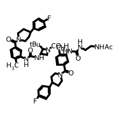 CC(=O)NCCNC(=O)Nc1cc(C(=O)N2CCC(c3ccc(F)cc3)CC2)ccc1C.Cc1ccc(C(=O)N2CCC(c3ccc(F)cc3)CC2)cc1NC(=O)NC1CN(C(=O)O)C1C(C)(C)C